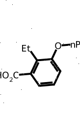 CCCOc1cccc(C(=O)O)c1CC